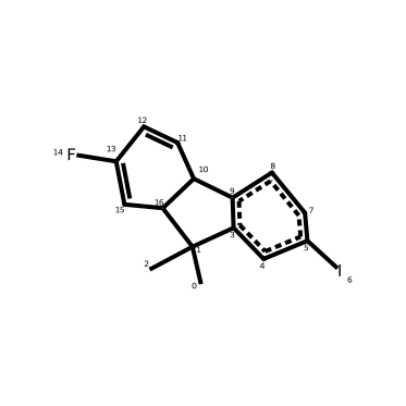 CC1(C)c2cc(I)ccc2C2C=CC(F)=CC21